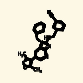 Cc1noc(C)c1-c1cnc2nc(NCc3cccc(C#N)c3)n(Cc3ccccc3)c2c1